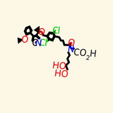 O=C(O)CN(CCCCC(O)CO)C(=O)CCCCc1cc(Cl)c(COC2(c3cnccc3-c3ccccc3OC3CC3)CC2)cc1Cl